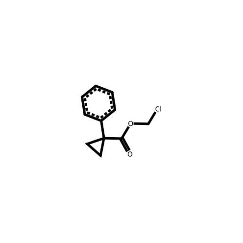 O=C(OCCl)C1(c2ccccc2)CC1